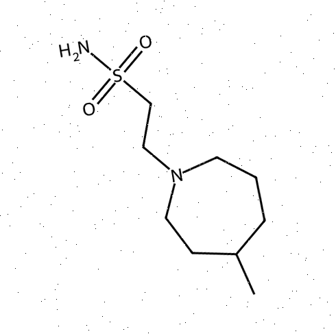 CC1CCCN(CCS(N)(=O)=O)CC1